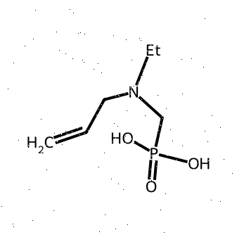 C=CCN(CC)CP(=O)(O)O